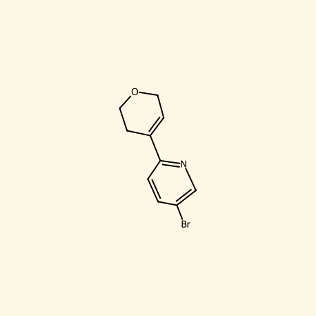 Brc1ccc(C2=CCOCC2)nc1